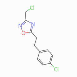 ClCc1noc(CCc2ccc(Cl)cc2)n1